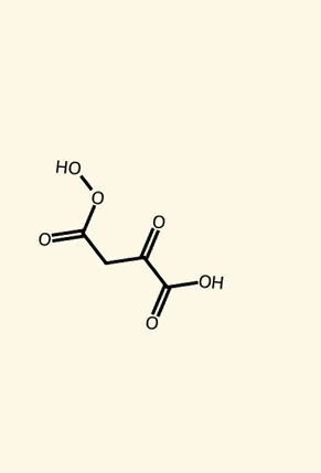 O=C(CC(=O)C(=O)O)OO